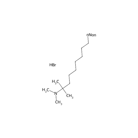 Br.CCCCCCCCCCCCCCCCC(C)(C)N(C)C